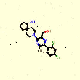 Cc1nc(N2CCC3(CCC[C@H]3N)CC2)c(CO)nc1-c1ccc(Cl)cc1Cl